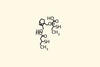 CCC(S)CC(=O)O.CCC(S)CC(=O)O.OCC1=CC2CCC1(CO)C2